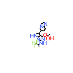 CC(O)Oc1nc(NC(C)C(F)(F)F)nc2[nH]cc(-c3ccc4nccn4c3)c12